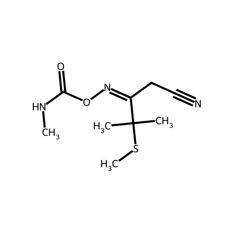 CNC(=O)ON=C(CC#N)C(C)(C)SC